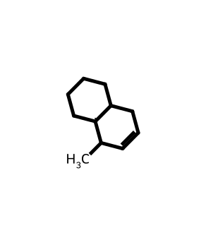 CC1C=CCC2CCCC[C]12